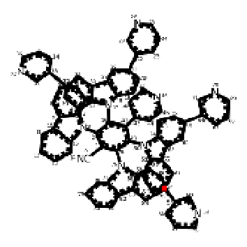 N#Cc1c(-n2c3ccccc3c3ccccc32)c(-n2c3ccc(-c4cccnc4)cc3c3cc(-c4cccnc4)ccc32)c(-c2ccncc2)c(-n2c3ccc(-c4cccnc4)cc3c3cc(-c4cccnc4)ccc32)c1-n1c2ccccc2c2ccccc21